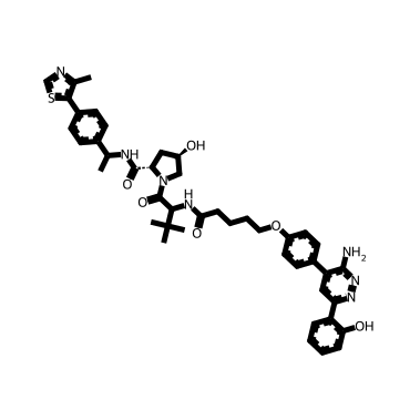 Cc1ncsc1-c1ccc(C(C)NC(=O)[C@@H]2C[C@@H](O)CN2C(=O)C(NC(=O)CCCCOc2ccc(-c3cc(-c4ccccc4O)nnc3N)cc2)C(C)(C)C)cc1